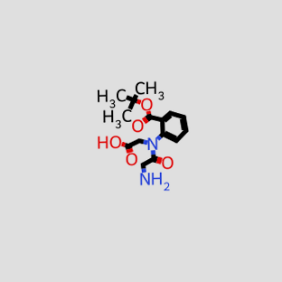 CC(C)(C)OC(=O)c1ccccc1N(CC(=O)O)C(=O)CN